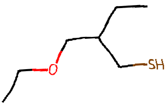 CCOCC(CC)CS